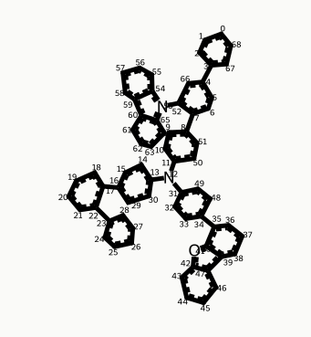 c1ccc(-c2ccc(-c3ccc(N(c4ccc(-c5ccccc5-c5ccccc5)cc4)c4ccc(-c5cccc6c5oc5ccccc56)cc4)cc3)c(-n3c4ccccc4c4ccccc43)c2)cc1